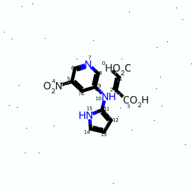 O=C(O)/C=C/C(=O)O.O=[N+]([O-])c1cncc(Nc2ccc[nH]2)c1